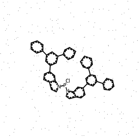 ClP(n1ccc2ccc(-c3cc(-c4ccccc4)cc(-c4ccccc4)c3)cc21)n1ccc2ccc(-c3cc(-c4ccccc4)cc(-c4ccccc4)c3)cc21